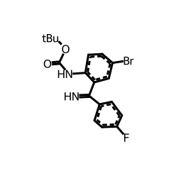 CC(C)(C)OC(=O)Nc1ccc(Br)cc1C(=N)c1ccc(F)cc1